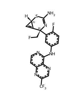 NC1=N[C@](CF)(c2cc(Nc3nccc4nc(C(F)(F)F)cnc34)ccc2F)C2=C[C@@H]2S1